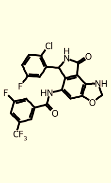 O=C(Nc1cc2c(c3c1C(c1cc(F)ccc1Cl)NC3=O)NCO2)c1cc(F)cc(C(F)(F)F)c1